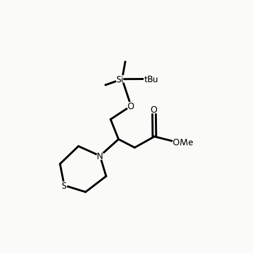 COC(=O)CC(CO[Si](C)(C)C(C)(C)C)N1CCSCC1